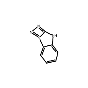 c1ccc2c(c1)NC1=NN=S12